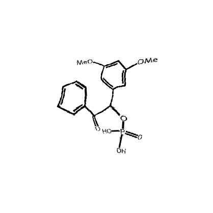 COc1cc(OC)cc(C(OP(=O)(O)O)C(=O)c2ccccc2)c1